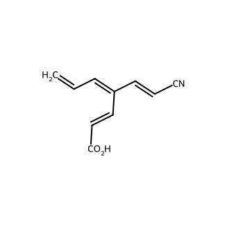 C=CC=C(C=CC#N)C=CC(=O)O